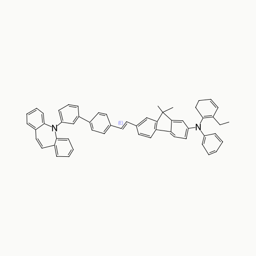 CCC1=C(N(c2ccccc2)c2ccc3c(c2)C(C)(C)c2cc(/C=C/c4ccc(-c5cccc(N6c7ccccc7C=Cc7ccccc76)c5)cc4)ccc2-3)CCC=C1